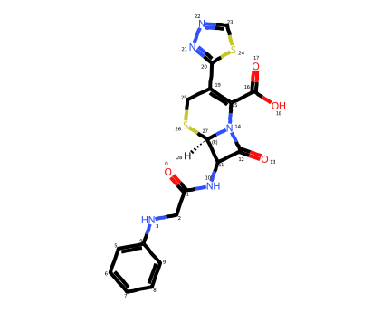 O=C(CNc1ccccc1)NC1C(=O)N2C(C(=O)O)=C(c3nncs3)CS[C@H]12